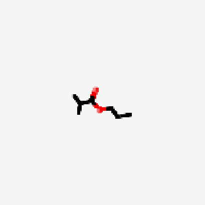 CCCOC(=O)C(C)C